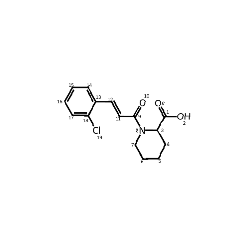 O=C(O)C1CCCCN1C(=O)C=Cc1ccccc1Cl